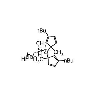 CCCCC1=C[C](C)([Zr]([SiH](C)C)[C]2(C)C=CC(CCCC)=C2)C=C1.F.F